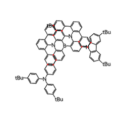 CC(C)(C)c1ccc(N(c2ccc(-c3ccc4c(c3)N(c3c(-c5ccccc5)cccc3-c3ccccc3)c3cc(C(C)(C)C)cc5c3B4c3ccc(-n4c6ccc(C(C)(C)C)cc6c6cc(C(C)(C)C)ccc64)cc3N5c3c(-c4ccccc4)cccc3-c3ccccc3)cc2)c2ccc(C(C)(C)C)cc2)cc1